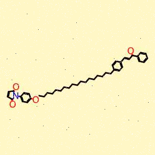 O=C(C=Cc1ccc(CCCCCCCCCCCCCCCCCCOc2ccc(N3C(=O)C=CC3=O)cc2)cc1)c1ccccc1